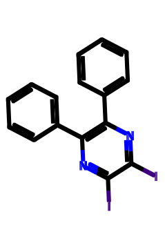 Ic1nc(-c2ccccc2)c(-c2ccccc2)nc1I